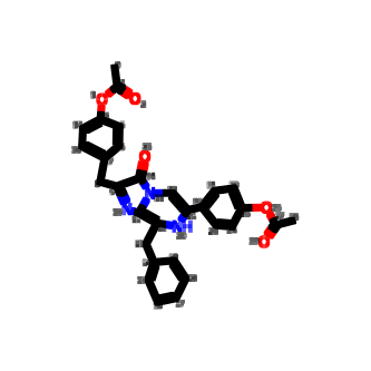 CC(=O)Oc1ccc(Cc2nc3c(Cc4ccccc4)[nH]c(-c4ccc(OC(C)=O)cc4)cn-3c2=O)cc1